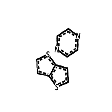 c1cc2sccc2s1.c1cnccn1